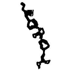 CCCNCc1ccc(N2CCN(c3ccc(CCC(=O)OC)cc3)C2=O)cc1